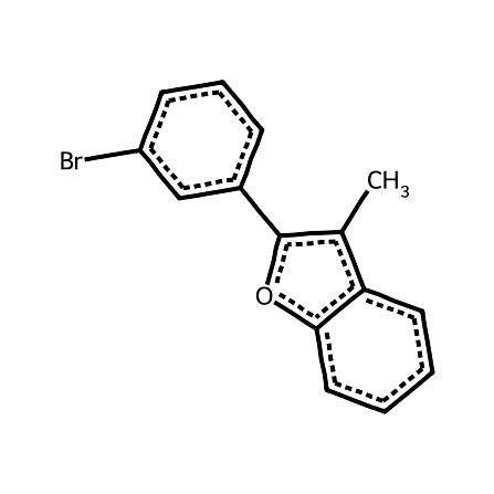 Cc1c(-c2cccc(Br)c2)oc2ccccc12